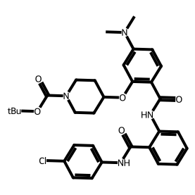 CN(C)c1ccc(C(=O)Nc2ccccc2C(=O)Nc2ccc(Cl)cc2)c(OC2CCN(C(=O)OC(C)(C)C)CC2)c1